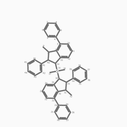 CC1c2c(-c3ccccc3)cccc2C(S(C)(C)C2c3cccc(-c4ccccc4)c3C(C)C2c2ccccc2)C1c1ccccc1